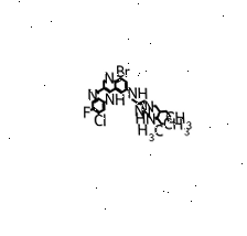 CCC(Cn1cc(CNc2cc(Br)c3ncc(C#N)c(Nc4ccc(F)c(Cl)c4)c3c2)nn1)C(=N)C(C)C